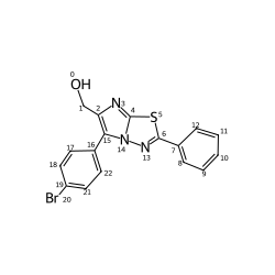 OCc1nc2sc(-c3ccccc3)nn2c1-c1ccc(Br)cc1